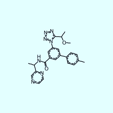 COC(C)c1nnnn1-c1cc(C(=O)NC(C)c2cnccn2)cc(-c2ccc(C)cc2)c1